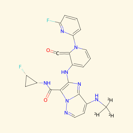 [2H]C([2H])([2H])Nc1ccnn2c(C(=O)N[C@@H]3C[C@@H]3F)c(NC3=CC=CN(c4cccc(F)n4)C3=C=O)nc12